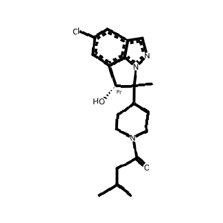 CC(C)CC(=O)N1CCC(C2(C)[C@H](O)c3cc(Cl)cc4cnn2c34)CC1